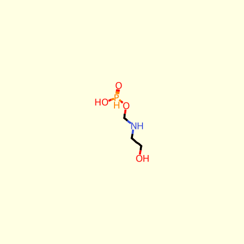 O=[PH](O)OCNCCO